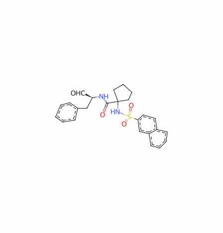 O=C[C@H](Cc1ccccc1)NC(=O)C1(NS(=O)(=O)c2ccc3ccccc3c2)CCCC1